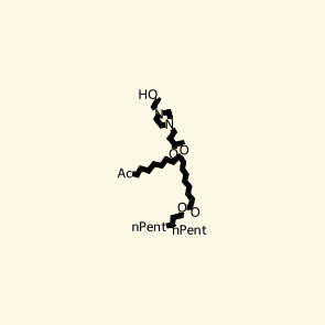 CCCCCC(CCCCC)CCOC(=O)CCCCCCCC1(CCCCCCCC(C)=O)OCC(CCN2CCN(CCO)CC2)O1